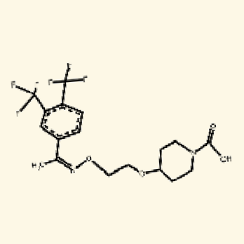 CC(=NOCCOC1CCN(C(=O)O)CC1)c1ccc(C(F)(F)F)c(C(F)(F)F)c1